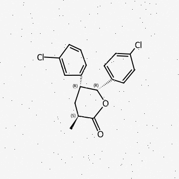 C[C@H]1C[C@H](c2cccc(Cl)c2)[C@H](c2ccc(Cl)cc2)OC1=O